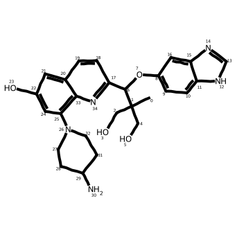 CC(CO)(CO)C(Oc1ccc2[nH]cnc2c1)c1ccc2cc(O)cc(N3CCC(N)CC3)c2n1